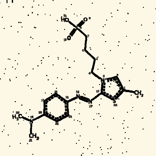 Cc1c[n+](CCCCS(=O)(=O)O)c(/N=N/c2ccc(N(C)C)cc2)s1